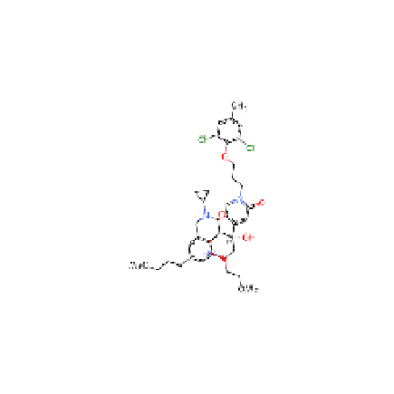 COCCCc1cc(CN(C(=O)C2CNCC[C@]2(O)c2ccn(CCCOc3c(Cl)cc(C)cc3Cl)c(=O)c2)C2CC2)cc(OCCOC)c1